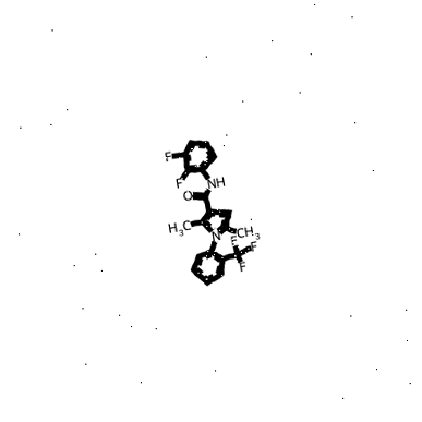 Cc1cc(C(=O)Nc2cccc(F)c2F)c(C)n1-c1ccccc1C(F)(F)F